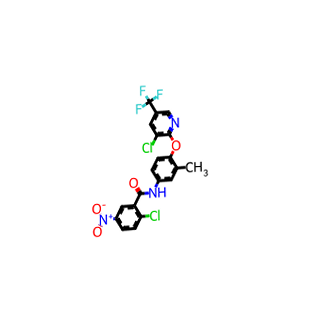 Cc1cc(NC(=O)c2cc([N+](=O)[O-])ccc2Cl)ccc1Oc1ncc(C(F)(F)F)cc1Cl